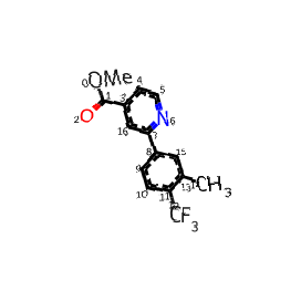 COC(=O)c1ccnc(-c2ccc(C(F)(F)F)c(C)c2)c1